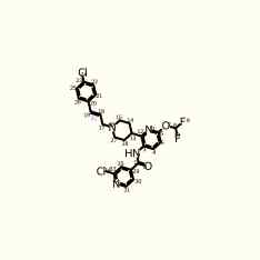 O=C(Nc1ccc(OC(F)F)nc1C1CCN(C/C=C/c2ccc(Cl)cc2)CC1)c1ccnc(Cl)c1